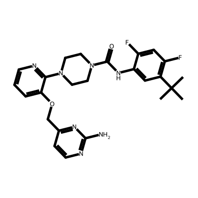 CC(C)(C)c1cc(NC(=O)N2CCN(c3ncccc3OCc3ccnc(N)n3)CC2)c(F)cc1F